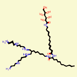 CCCCCCCCCCC(NC(=O)CCCCCCCCCCCNC(=O)[C@H](O)[C@@H](O)[C@H](O)[C@H](O)CO)C(=O)NCCCCCCC(CNCCCCNCCCN)CNCCCCNCCCN